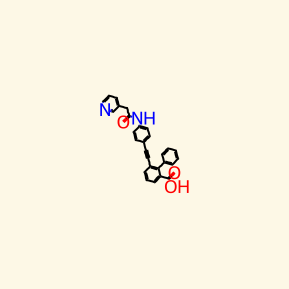 O=C(Cc1cccnc1)Nc1ccc(C#Cc2cccc(C(=O)O)c2-c2ccccc2)cc1